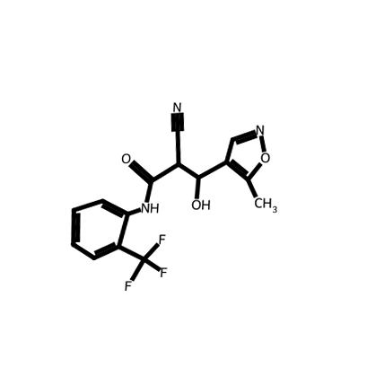 Cc1oncc1C(O)C(C#N)C(=O)Nc1ccccc1C(F)(F)F